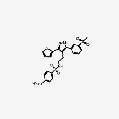 CCCCCc1ccc(S(=O)(=O)NCCc2c(-c3cccs3)n[nH]c2-c2cccc(S(C)(=O)=O)c2)cc1